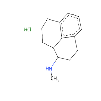 CNC1CCc2cccc3c2C1CCC3.Cl